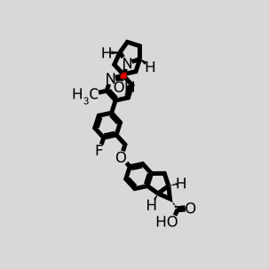 Cc1nc(N2[C@@H]3CC[C@H]2CC(O)C3)ccc1-c1ccc(F)c(COc2ccc3c(c2)C[C@H]2[C@H](C(=O)O)[C@@H]32)c1